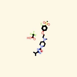 CC(C)c1noc(N2CCC(N(C)CCOc3ccc(S(C)(=O)=O)c(F)c3)CC2)n1.O=C(O)C(F)(F)F